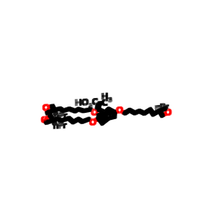 CCCC1(CCCCCCCOC(=C(C)C(=O)O)C23CC4CC(OCCCCCCCC5(CCC)COC5)(CC(OCCCCCCCC5(CCC)COC5)(C4)C2)C3)COC1